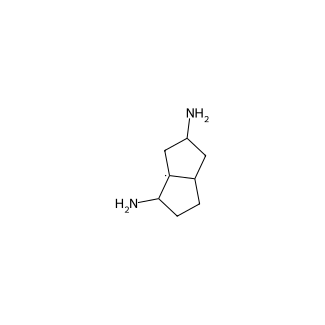 NC1C[C]2C(N)CCC2C1